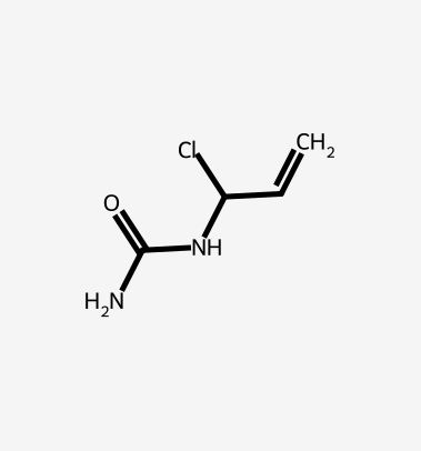 C=CC(Cl)NC(N)=O